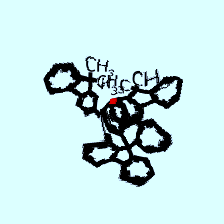 CC1(C)c2ccccc2-c2ccc(N(c3ccc4c(c3)C(C)(C)c3ccccc3-4)c3cccc4c3C3(c5ccccc5-c5ccccc53)c3ccccc3-4)cc21